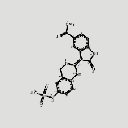 COC(=O)c1ccc2c(c1)/C(=C1\NCc3cc(NS(C)(=O)=O)ccc3N1)C(=O)N2